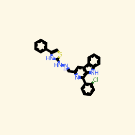 Clc1ccccc1-c1nc(/C=N/NC2NC(c3ccccc3)=CS2)cc2c1[nH]c1ccccc12